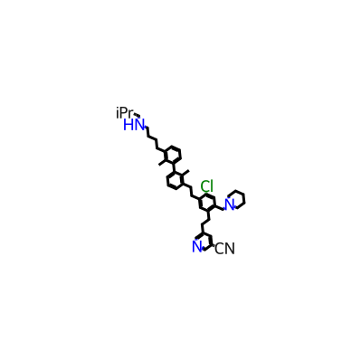 Cc1c(CCCCNCC(C)C)cccc1-c1cccc(CCc2cc(CCc3cncc(C#N)c3)c(CN3CCCCC3)cc2Cl)c1C